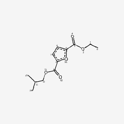 CCOC(=O)c1ccc(C(=O)OCC(C)C)o1